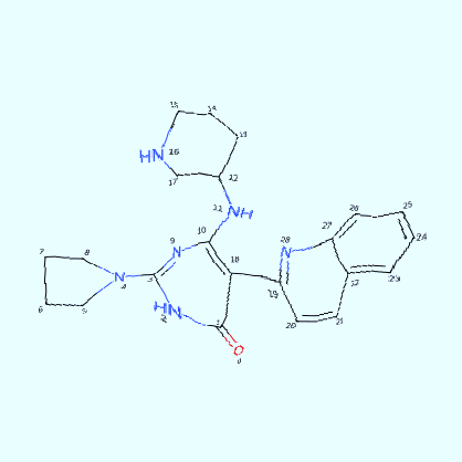 O=c1[nH]c(N2CCCC2)nc(NC2CCCNC2)c1-c1ccc2ccccc2n1